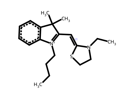 CCCC[N+]1=C(/C=C2\SCCN2CC)C(C)(C)c2ccccc21